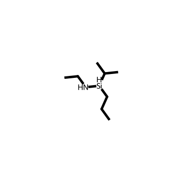 CCC[SiH](NCC)C(C)C